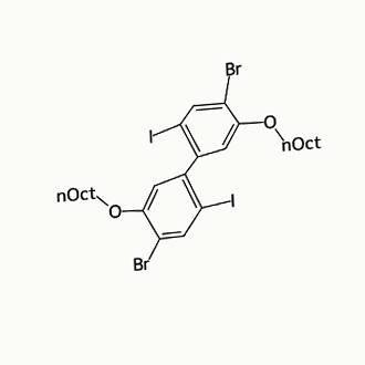 CCCCCCCCOc1cc(-c2cc(OCCCCCCCC)c(Br)cc2I)c(I)cc1Br